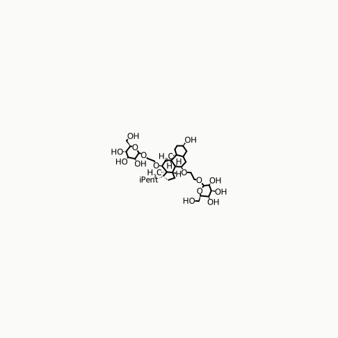 CCC[C@@H](C)[C@H]1CC[C@H]2[C@@H]3[C@H](OCCOC4O[C@H](CO)[C@@H](O)[C@H](O)[C@H]4O)CC4C[C@H](O)CC[C@]4(C)[C@H]3C[C@H](OCCOC3O[C@H](CO)[C@@H](O)[C@H](O)[C@H]3O)[C@]12C